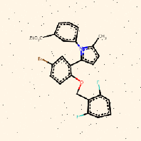 CCOC(=O)c1cccc(-n2c(C)ccc2-c2cc(Br)ccc2OCc2c(F)cccc2F)c1